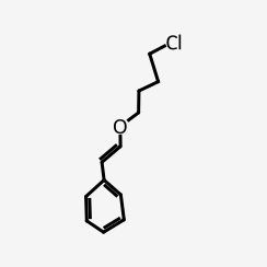 ClCCCCOC=Cc1ccccc1